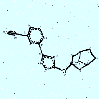 CN1C2CCC1CC(Oc1nnc(-c3cccc(C#N)c3)s1)C2